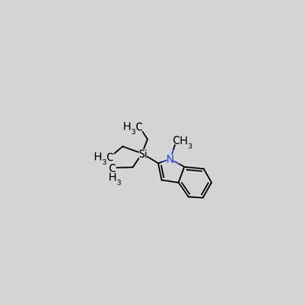 CC[Si](CC)(CC)c1cc2ccccc2n1C